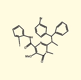 COc1c(C(=O)Nc2ccccc2I)nc(N(C)C(c2ccccc2)c2cccc(Br)c2)n(C)c1=O